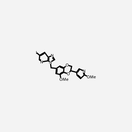 COc1ccc(C2COc3cc(Cn4cnc5cc(I)cnc54)cc(OC)c3O2)cn1